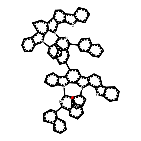 c1ccc(-n2c3ccccc3c3ccc4c5ccc6c7ccccc7oc6c5n(-c5nc(-c6ccc7ccccc7c6)c6cc(-c7cc8c9ccc%10c%11ccccc%11oc%10c9n(-c9ccccc9)c8c8c7c7ccccc7n8-c7nc(-c8cccc9ccccc89)c8ccccc8n7)ccc6n5)c4c32)cc1